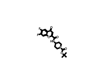 CC(C)(C)OC(=O)N1CCC(NC(=O)c2cc(=O)c3cc(F)c(F)cc3o2)CC1